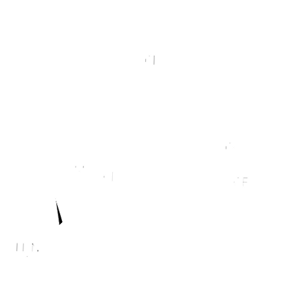 NC[C@H]1CCc2cccc(-c3c(Cl)cc(OC(F)(F)F)cc3Cl)c2O1